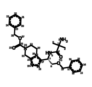 CC(C)(N)C(=O)N[C@H](COCc1ccccc1)c1nnc2n1CCN(C(=O)OCc1ccccc1)C2